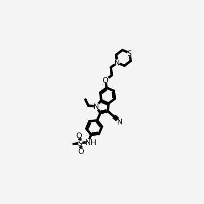 CCn1c(-c2ccc(NS(C)(=O)=O)cc2)c(C#N)c2ccc(OCCN3CCSCC3)cc21